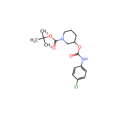 CC(C)(C)OC(=O)N1CCCC(OC(=O)Nc2ccc(Cl)cc2)C1